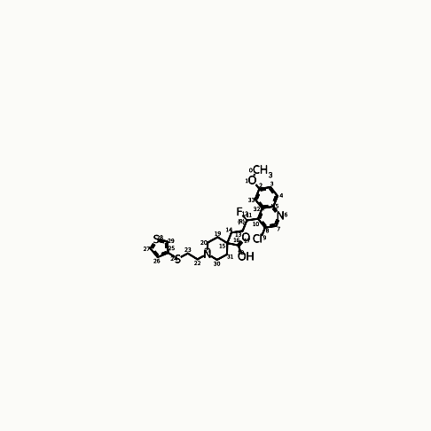 COc1ccc2ncc(Cl)c([C@H](F)CCC3(C(=O)O)CCN(CCSc4ccsc4)CC3)c2c1